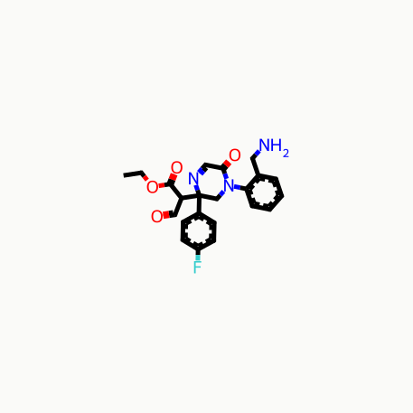 CCOC(=O)C(C=O)C1(c2ccc(F)cc2)CN(c2ccccc2CN)C(=O)C=N1